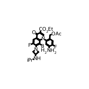 Bc1c(N2CC(NC(C)C)C2)c(F)cc2c(=O)c(C(=O)OCC)cn(-c3cc(N)c(F)cc3COC(C)=O)c12